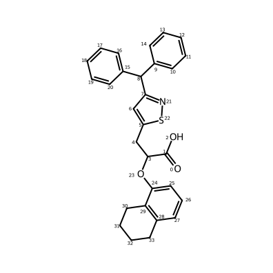 O=C(O)C(Cc1cc(C(c2ccccc2)c2ccccc2)ns1)Oc1cccc2c1CCCC2